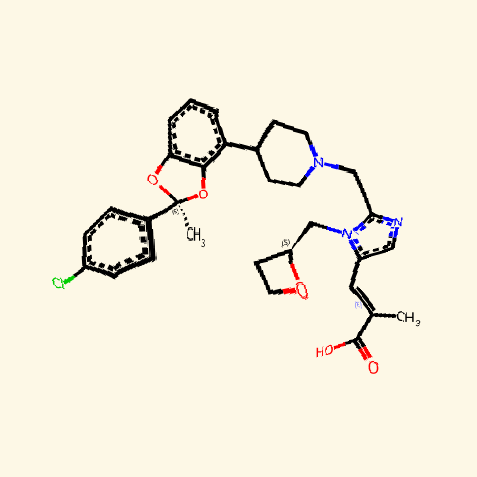 C/C(=C\c1cnc(CN2CCC(c3cccc4c3O[C@@](C)(c3ccc(Cl)cc3)O4)CC2)n1C[C@@H]1CCO1)C(=O)O